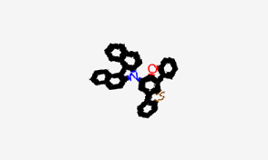 c1ccc2c(c1)ccc1c2c2c3ccccc3ccc2n1-c1cc2c3ccccc3sc2c2c1oc1ccccc12